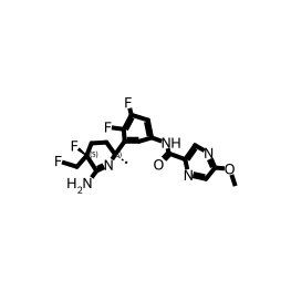 COc1cnc(C(=O)Nc2cc(F)c(F)c([C@]3(C)CC[C@@](F)(CF)C(N)=N3)c2)cn1